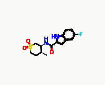 C[C@@H]1CCS(=O)(=O)C[C@@H]1NC(=O)c1cc2cc(F)ccc2[nH]1